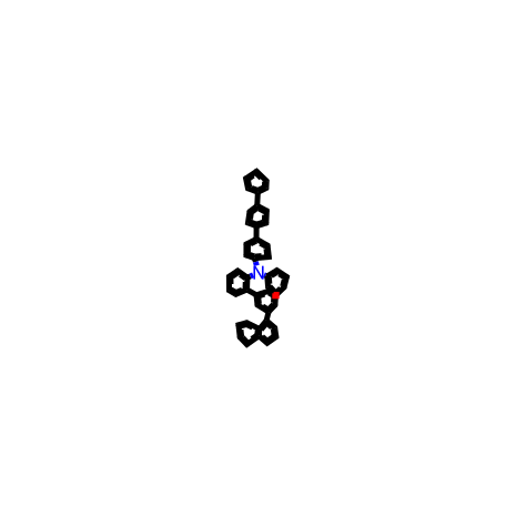 c1ccc(-c2ccc(-c3ccc(N(c4ccccc4)c4ccccc4-c4cccc(-c5cccc6ccccc56)c4)cc3)cc2)cc1